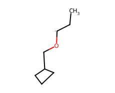 CC[CH]OCC1CCC1